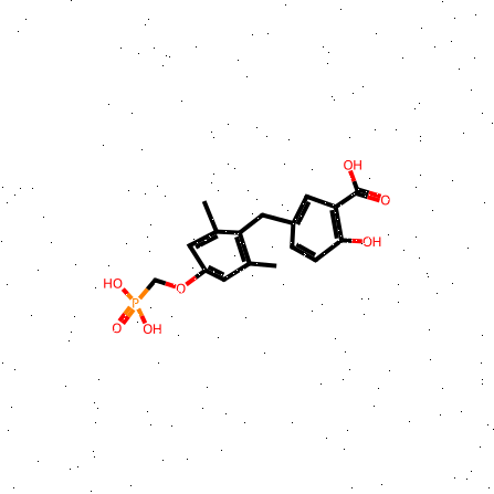 Cc1cc(OCP(=O)(O)O)cc(C)c1Cc1ccc(O)c(C(=O)O)c1